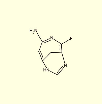 NC1=NC(F)=C2CC(=C1)NC=N2